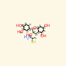 CC(N)S.Oc1cc(O)c2c(c1)O[C@H](c1ccc(O)c(O)c1)[C@@H](O)C2